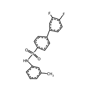 Cc1cccc(NS(=O)(=O)c2ccc(-c3ccc(F)c(F)c3)cc2)c1